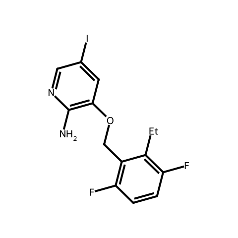 CCc1c(F)ccc(F)c1COc1cc(I)cnc1N